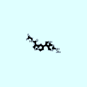 CC[C@H](C)Nc1ncc2c(-c3ccn4ncc(C(=O)NCC(F)F)c4c3)c[nH]c2n1